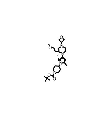 COCC[C@@]1(C)CN(C2COC2)CCN1c1cc(C)n(C2CCN(C(=O)OC(C)(C)C)CC2)n1